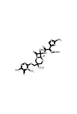 CON=C(C(=O)NC1(OC)C(=O)N2CC(CSc3nnc(O)c(=O)n3C)(C(=O)O)CS[C@@H]21)c1csc(N)n1